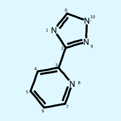 C1=NC(c2ccccn2)=N[N]1